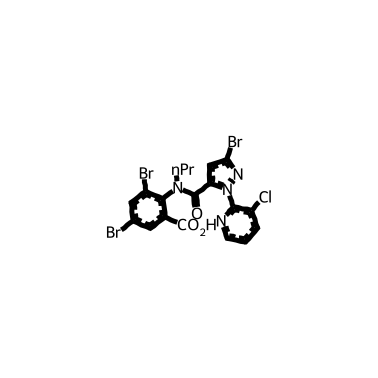 CCCN(C(=O)c1cc(Br)nn1-c1ncccc1Cl)c1c(Br)cc(Br)cc1C(=O)O